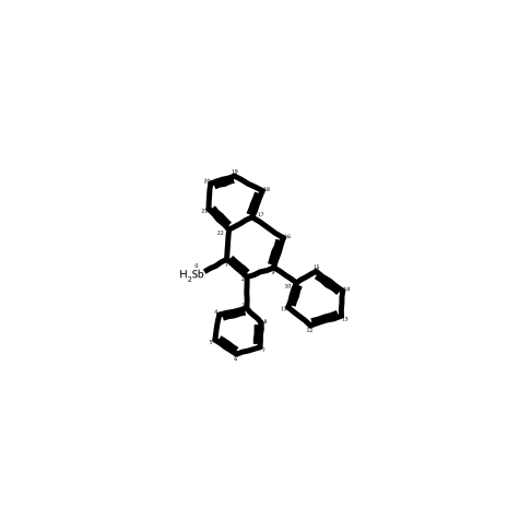 [SbH2][c]1c(-c2ccccc2)c(-c2ccccc2)cc2ccccc12